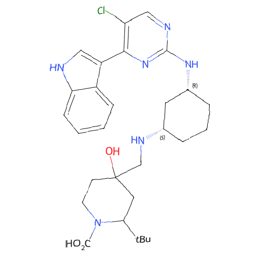 CC(C)(C)C1CC(O)(CN[C@H]2CCC[C@@H](Nc3ncc(Cl)c(-c4c[nH]c5ccccc45)n3)C2)CCN1C(=O)O